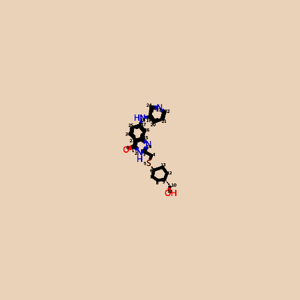 O=c1[nH]c(CS[C@H]2CC[C@@H](CO)CC2)nc2cc(Nc3cccnc3)ccc12